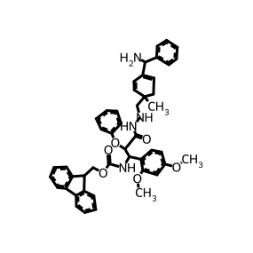 COc1ccc(C(NC(=O)OCC2c3ccccc3-c3ccccc32)C(Oc2ccccc2)C(=O)NNCC2(C)C=CC(C(N)c3ccccc3)=CC2)c(OC)c1